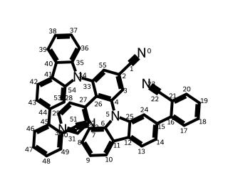 N#Cc1cc(-n2c3ccccc3c3ccc(-c4ccccc4C#N)cc32)c(-c2ccncc2)c(-n2c3ccccc3c3ccc(-c4ccccc4C#N)cc32)c1